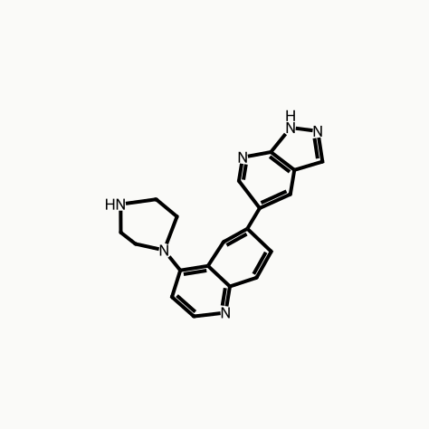 c1cc(N2CCNCC2)c2cc(-c3cnc4[nH]ncc4c3)ccc2n1